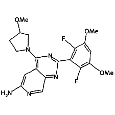 COc1cc(OC)c(F)c(-c2nc(N3CCC(OC)C3)c3cc(N)ncc3n2)c1F